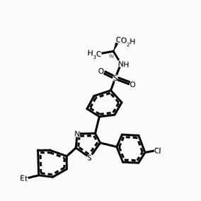 CCc1ccc(-c2nc(-c3ccc(S(=O)(=O)N[C@@H](C)C(=O)O)cc3)c(-c3ccc(Cl)cc3)s2)cc1